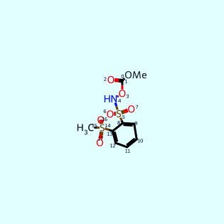 COC(=O)ONS(=O)(=O)c1ccccc1S(C)(=O)=O